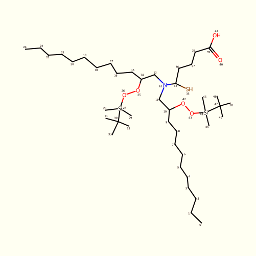 CCCCCCCCCCC(CN(CC(CCCCCCCCCC)OO[Si](C)(C)C(C)(C)C)C(S)CCCC(=O)O)OO[Si](C)(C)C(C)(C)C